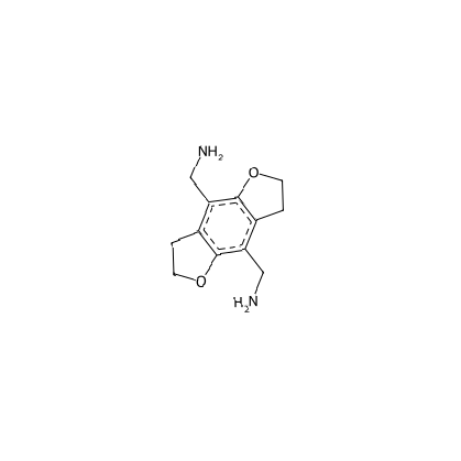 NCc1c2c(c(CN)c3c1OCC3)OCC2